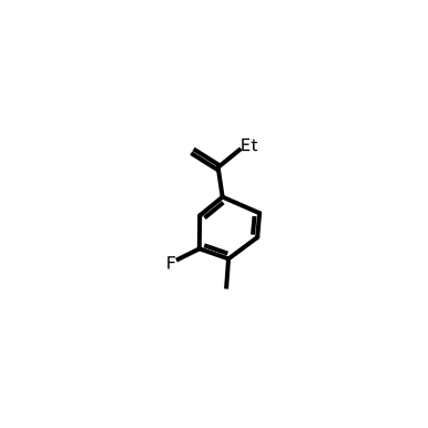 C=C(CC)c1ccc(C)c(F)c1